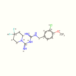 N=C(NCc1ccc(OC(F)(F)F)c(Cl)c1)NC(=N)N1CCC(F)(F)CC1